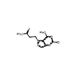 COC(=O)CCn1ncc2nc(Cl)nc(OC)c21